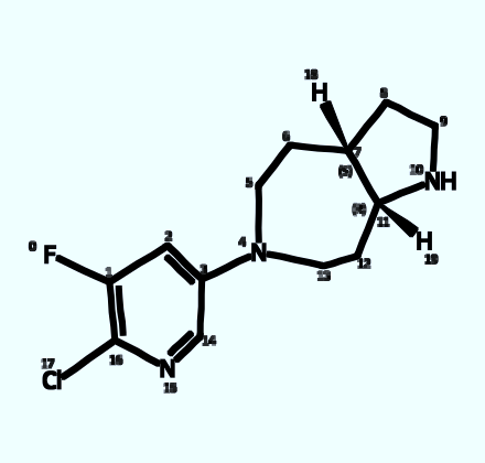 Fc1cc(N2CC[C@@H]3CCN[C@@H]3CC2)cnc1Cl